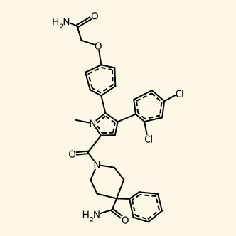 Cn1c(C(=O)N2CCC(C(N)=O)(c3ccccc3)CC2)cc(-c2ccc(Cl)cc2Cl)c1-c1ccc(OCC(N)=O)cc1